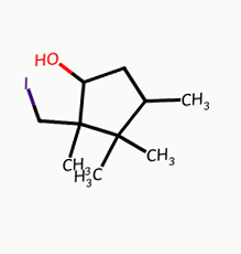 CC1CC(O)C(C)(CI)C1(C)C